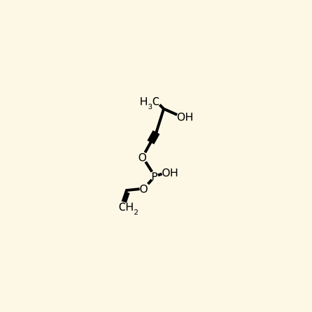 C=COP(O)OC#CC(C)O